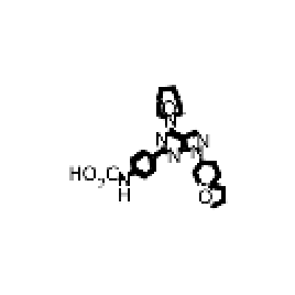 O=C(O)Nc1ccc(-c2nc(N3CC4CCC(C3)O4)c3cnn([C@H]4CC[C@@]5(CCCO5)CC4)c3n2)cc1